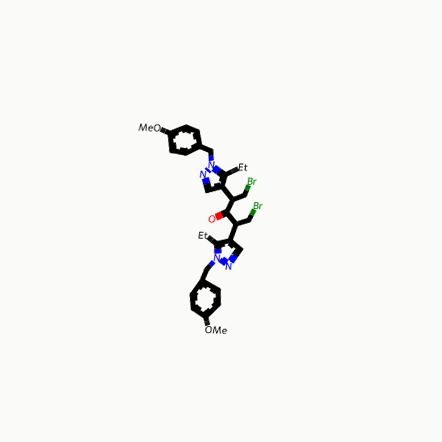 CCc1c(C(CBr)C(=O)C(CBr)c2cnn(Cc3ccc(OC)cc3)c2CC)cnn1Cc1ccc(OC)cc1